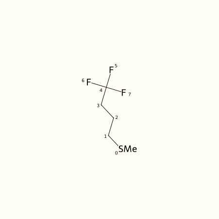 [CH2]SCCCC(F)(F)F